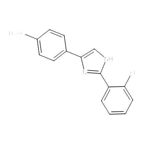 O=C(O)c1ccc(-c2c[nH]c(-c3ccccc3Cl)n2)cc1